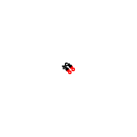 [O]=[Ce].[O]=[Th]